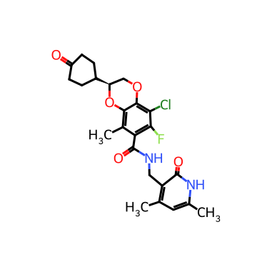 Cc1cc(C)c(CNC(=O)c2c(C)c3c(c(Cl)c2F)OC[C@H](C2CCC(=O)CC2)O3)c(=O)[nH]1